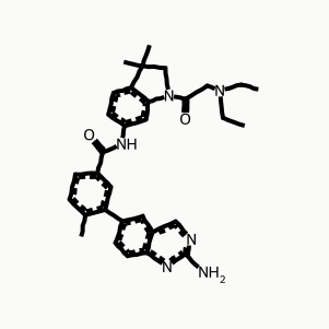 CCN(CC)CC(=O)N1CC(C)(C)c2ccc(NC(=O)c3ccc(C)c(-c4ccc5nc(N)ncc5c4)c3)cc21